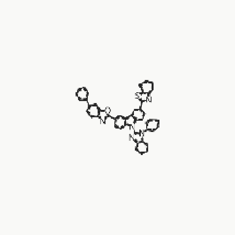 c1ccc(-c2ccc3nc(-c4ccc5c(c4)c4cc(-c6nc7ccccc7s6)ccc4n5-c4nc5ccccc5n4-c4ccccc4)oc3c2)cc1